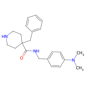 CN(C)c1ccc(CNC(=O)C2(Cc3ccccc3)CCNCC2)cc1